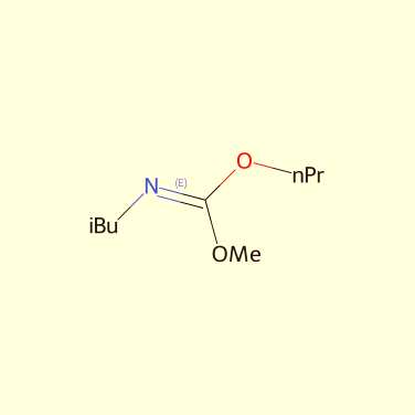 CCCO/C(=N/C(C)CC)OC